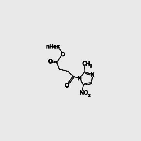 CCCCCCOC(=O)CCC(=O)n1c([N+](=O)[O-])cnc1C